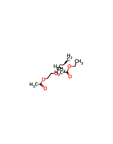 C=CC.CCOC(C)=O.COCCOC(C)=O